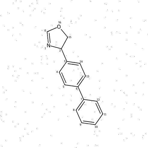 [C]1=NC(c2ccc(-c3ccccc3)cc2)CO1